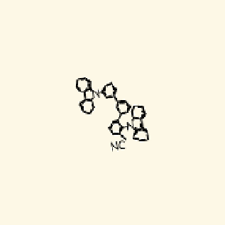 N#CCc1cccc(-c2cccc(-c3cccc(-n4c5ccccc5c5ccccc54)c3)c2)c1-n1c2ccccc2c2ccccc21